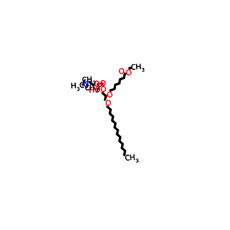 CCCCCCCCCCCCCCCCOCC(COP(=O)(O)OCC[N+](C)(C)C)OCCCCCCC(=O)OCC